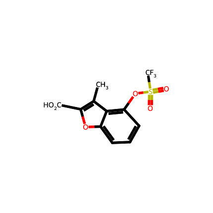 Cc1c(C(=O)O)oc2cccc(OS(=O)(=O)C(F)(F)F)c12